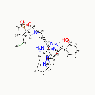 Nc1nnc(-c2ccccc2O)cc1N1CC2CCC(C1)N2c1ccnc(C#CCN2CC3(C2)C(CF)CCS3(=O)=O)c1